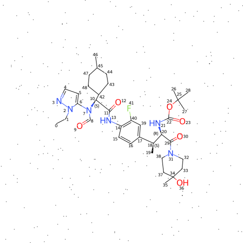 CCn1nccc1N(C=O)[C@H](C(=O)Nc1ccc([C@H](C)[C@@H](NC(=O)OC(C)(C)C)C(=O)N2CCC(C)(O)CC2)cc1F)C1CCC(C)CC1